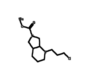 CC(C)(C)OC(=O)N1CC2CCCN(CCCCl)C2C1